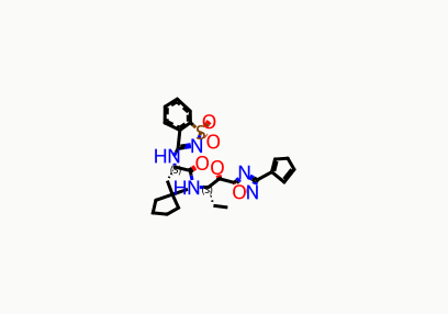 CC[C@H](NC(=O)[C@H](CC1(C)CCCC1)NC1=NS(=O)(=O)c2ccccc21)C(=O)c1nc(C2=CCC=C2)no1